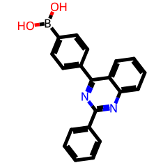 OB(O)c1ccc(-c2nc(-c3ccccc3)nc3ccccc23)cc1